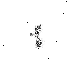 CCNC(=O)Nc1cc2c(Br)cc(-c3cnc(NS(=O)(=O)C(C)(C)C)nc3)cn2n1